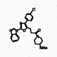 CNC1CCN(C(=O)CCc2oc(-n3cnc4ccccc43)nc2-c2ccc(Cl)cc2)CC1